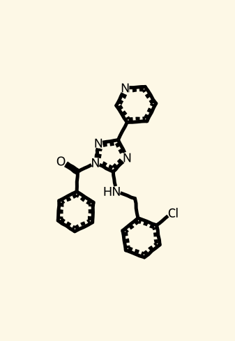 O=C(c1ccccc1)n1nc(-c2cccnc2)nc1NCc1ccccc1Cl